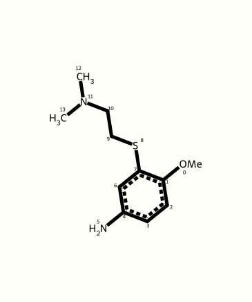 COc1ccc(N)cc1SCCN(C)C